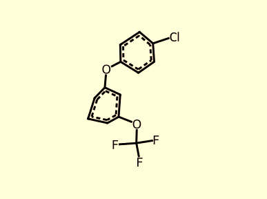 FC(F)(F)Oc1cccc(Oc2ccc(Cl)cc2)c1